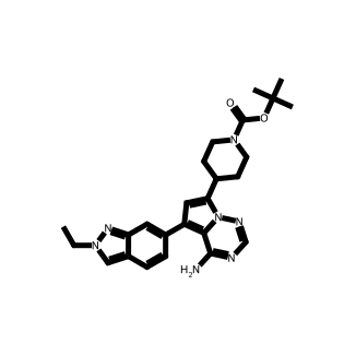 CCn1cc2ccc(-c3cc(C4CCN(C(=O)OC(C)(C)C)CC4)n4ncnc(N)c34)cc2n1